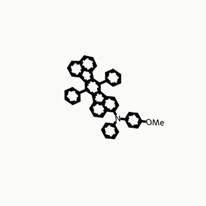 COc1ccc(N(c2ccccc2)c2ccc3c4c(-c5ccccc5)c5c6cccc7cccc(c5c(-c5ccccc5)c4c4cccc2c43)c76)cc1